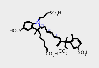 C=C(/C=C/C=C/C=C1/N(CCCS(=O)(=O)O)c2ccc(S(=O)(=O)O)cc2C1(C)CCCCCC(=O)O)C(C)(CC(=O)O)c1cc(S(=O)(=O)O)ccc1C